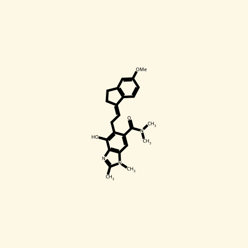 COc1ccc2c(c1)CCC2=CCc1c(C(=O)N(C)C)cc2c(nc(C)n2C)c1O